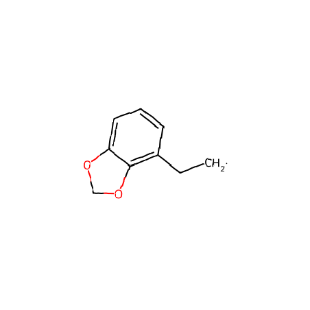 [CH2]Cc1cccc2c1OCO2